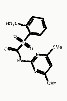 COc1cc(OC)nc(NC(=O)S(=O)(=O)c2ccccc2C(=O)O)n1